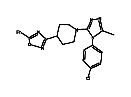 Cc1nnc(N2CCC(c3noc(C(C)C)n3)CC2)n1-c1ccc(Cl)cc1